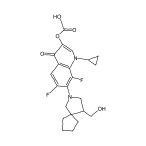 O=C(O)Oc1cn(C2CC2)c2c(F)c(N3CC(CO)C4(CCCC4)C3)c(F)cc2c1=O